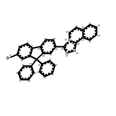 Brc1ccc2c(c1)C(c1ccccc1)(c1ccccc1)c1cc(-c3nnc4c5ccccc5ccn34)ccc1-2